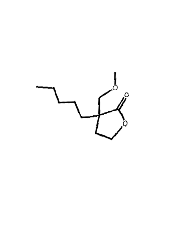 CCCCCC1(COC)CCOC1=O